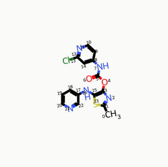 Cc1nc(OC(=O)Nc2ccnc(Cl)c2)c(Nc2cccnc2)s1